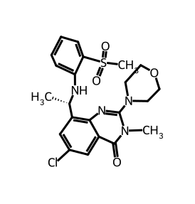 C[C@H](Nc1ccccc1S(C)(=O)=O)c1cc(Cl)cc2c(=O)n(C)c(N3CCOCC3)nc12